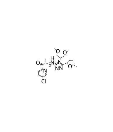 COCC(COC)n1c(NSC(C)[C@H](OC)c2ccc(Cl)cn2)nnc1C1CCC(C)O1